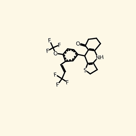 O=C1CCCC2=C1C(c1ccc(OC(F)(F)F)c(C=CC(F)(F)F)c1)C1=C(CCS1)N2